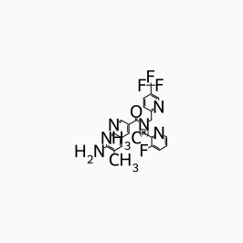 Cc1cc2cc(C(=O)N(Cc3ccc(C(F)(F)F)cn3)[C@H](C)c3ncccc3F)cnc2nc1N